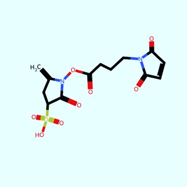 C=C1CC(S(=O)(=O)O)C(=O)N1OC(=O)CCCN1C(=O)C=CC1=O